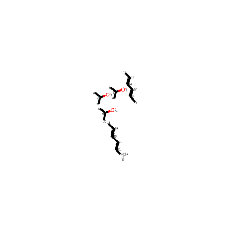 CC(C)[O-].CC(C)[O-].CC(C)[O-].CC=CC=CC.CC=CC=[CH][Ti+3]